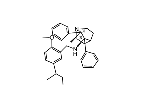 CCC(C)c1ccc(OC)c(CN[C@]2(c3ccccc3)C3CCN(CC3)[C@@]2(C)c2ccccc2)c1